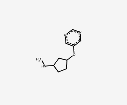 CNC1CCC(Oc2cncnc2)C1